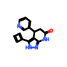 O=C1CC(c2cccnc2)c2c(n[nH]c2C2=CC=C2)N1